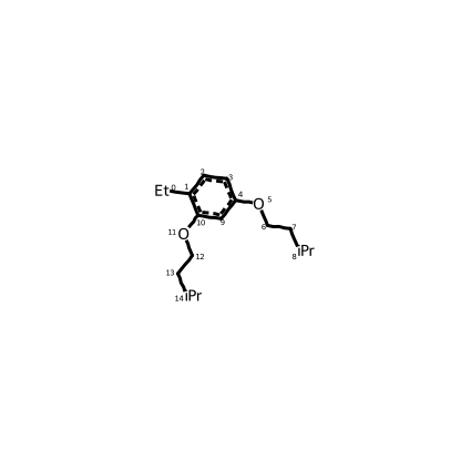 [CH2]Cc1ccc(OCCC(C)C)cc1OCCC(C)C